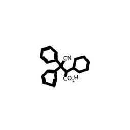 N#CC(c1ccccc1)(c1ccccc1)C(C(=O)O)C1CCCCC1